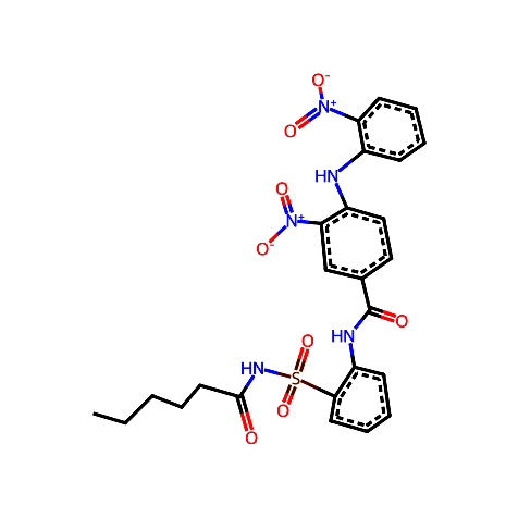 CCCCCC(=O)NS(=O)(=O)c1ccccc1NC(=O)c1ccc(Nc2ccccc2[N+](=O)[O-])c([N+](=O)[O-])c1